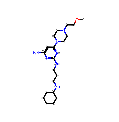 CCOCCN1CCN(c2cc(N)nc(NCCCNC3CCCCC3)n2)CC1